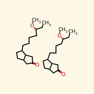 CCC(CCCCC1CCC2CC(=O)CC12)OC.CCC(CCCCC1CCC2CC(=O)CC12)OC